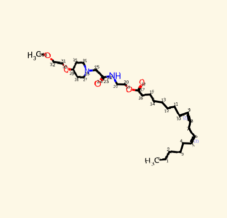 CCCCC/C=C\C/C=C\CCCCCCCC(=O)OCCNC(=O)CN1CCC(OCCOC)CC1